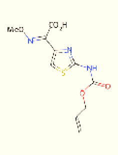 C=CCOC(=O)Nc1nc(C(=NOC)C(=O)O)cs1